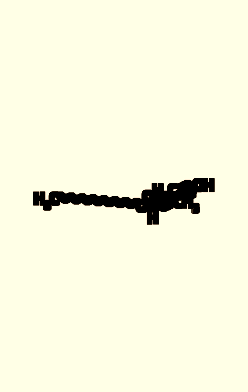 CCCCCCCCCCCCCCCCOC(=O)Nc1ccc(C(C)(C)c2ccc(O)cc2)cc1